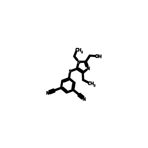 CCc1nc(CO)n(CC)c1Sc1cc(C#N)cc(C#N)c1